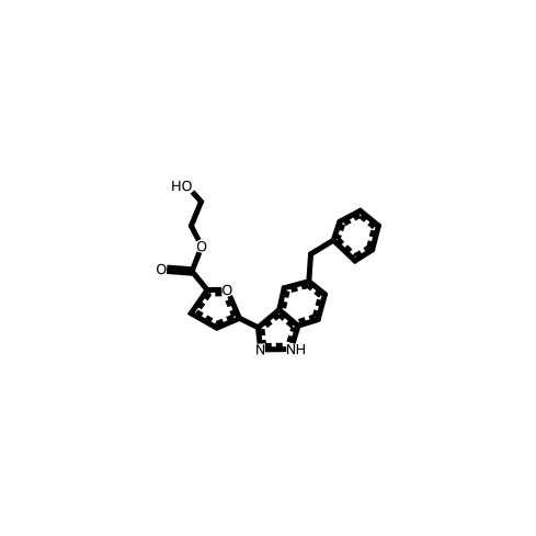 O=C(OCCO)c1ccc(-c2n[nH]c3ccc(Cc4ccccc4)cc23)o1